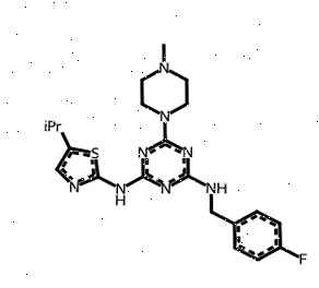 CC(C)c1cnc(Nc2nc(NCc3ccc(F)cc3)nc(N3CCN(C)CC3)n2)s1